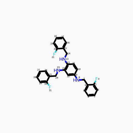 Fc1ccccc1CNc1ccc(NCc2ccccc2F)c(NCc2ccccc2F)c1